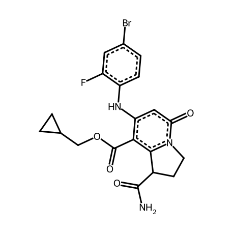 NC(=O)C1CCn2c1c(C(=O)OCC1CC1)c(Nc1ccc(Br)cc1F)cc2=O